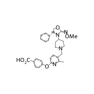 CON=C1OC[C@@H](c2ccccc2)N1C1CCN(Cc2ccc(Oc3ccc(C(=O)O)cc3)nc2C)CC1